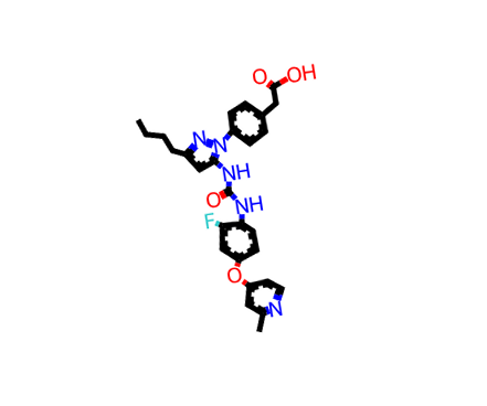 CCCCc1cc(NC(=O)Nc2ccc(Oc3ccnc(C)c3)cc2F)n(-c2ccc(CC(=O)O)cc2)n1